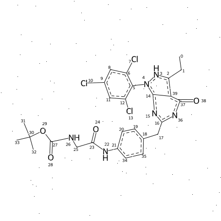 CCc1[nH]n(-c2c(Cl)cc(Cl)cc2Cl)c2nc(Cc3ccc(NC(=O)CNC(=O)OC(C)(C)C)cc3)nc(=O)c1-2